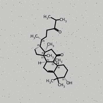 CC(C)C(=O)CC[C@@H](C)[C@H]1CC[C@@]2(C)[C@@H]3CC=C4[C@@H](CC[C@H](O)C4(C)C)[C@]3(C)C(=O)C[C@]12C